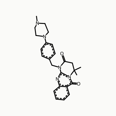 CN1CCN(c2ccc(CN3C(=O)CC(C)(C)n4c3nc3ccccc3c4=O)cc2)CC1